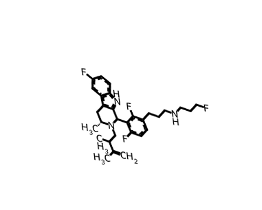 C=C(C)C(C)CN1C(c2c(F)ccc(CCCNCCCF)c2F)c2[nH]c3ccc(F)cc3c2C[C@H]1C